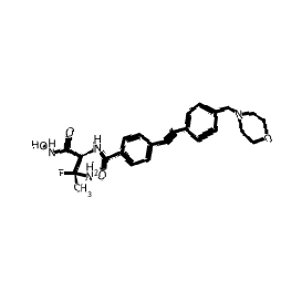 C[C@@](N)(F)[C@H](NC(=O)c1ccc(C#Cc2ccc(CN3CCOCC3)cc2)cc1)C(=O)NO